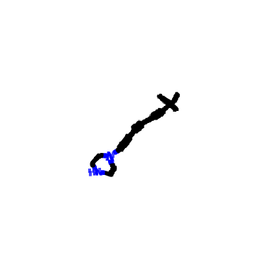 CC(C)(C)C#CC#CC#CN1CCNCC1